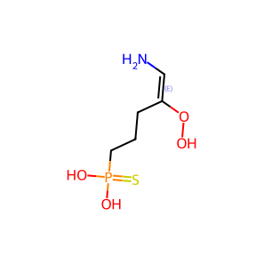 N/C=C(\CCCP(O)(O)=S)OO